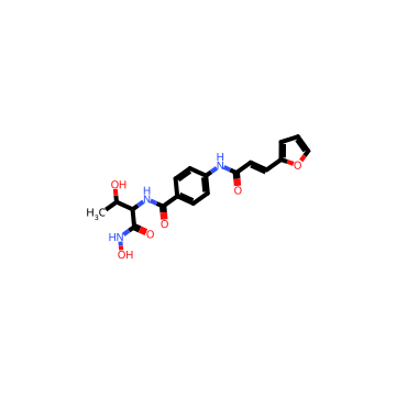 CC(O)C(NC(=O)c1ccc(NC(=O)/C=C/c2ccco2)cc1)C(=O)NO